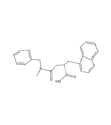 CN(Cc1ccccc1)C(=O)CC(Cc1cccc2ccccc12)C(=O)O